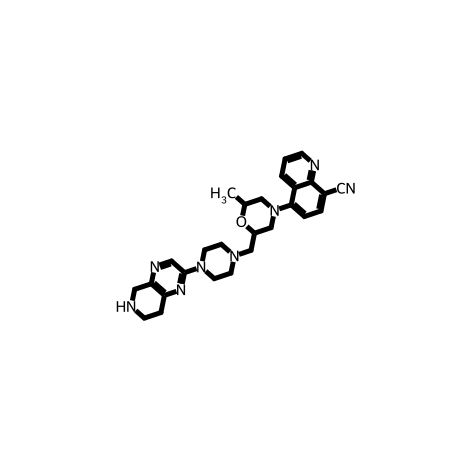 CC1CN(c2ccc(C#N)c3ncccc23)CC(CN2CCN(c3cnc4c(n3)CCNC4)CC2)O1